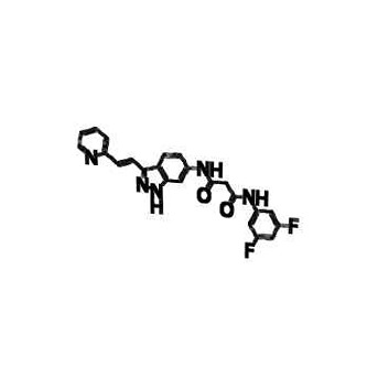 O=C(CC(=O)Nc1ccc2c(C=Cc3ccccn3)n[nH]c2c1)Nc1cc(F)cc(F)c1